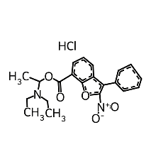 CCN(CC)C(C)OC(=O)c1cccc2c(-c3ccccc3)c([N+](=O)[O-])oc12.Cl